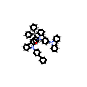 c1ccc(-c2ccc(-n3c4ccccc4c4ccc(-n5c6ccc(-n7c8ccccc8c8ccccc87)cc6c6cccc([Si](c7ccccc7)(c7ccccc7)c7ccccc7)c65)cc43)cc2)cc1